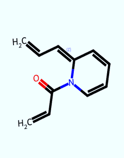 C=C/C=C1/C=CC=CN1C(=O)C=C